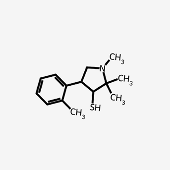 Cc1ccccc1C1CN(C)C(C)(C)C1S